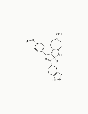 O=C(O)N1CCC2=C(Cc3ccc(OC(F)(F)F)cc3)C(F)(C(=O)N3CCc4[nH]nnc4C3)NN2CC1